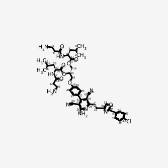 CC(C)C[C@H](NC(=O)CCN)C(=O)OC[C@H](COc1ccc(-c2c(C#N)c(N)nc(SCc3coc(-c4ccc(Cl)cc4)n3)c2C#N)cc1)OC(=O)[C@H](CC(C)C)NC(=O)CCN